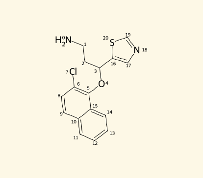 NCCC(Oc1c(Cl)ccc2ccccc12)c1cncs1